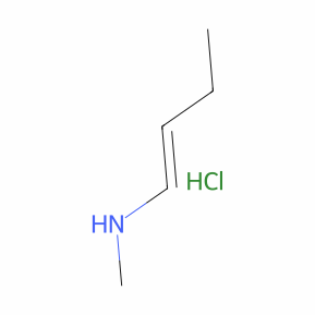 CCC=CNC.Cl